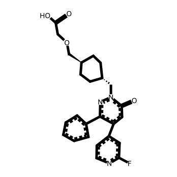 O=C(O)COC[C@H]1CC[C@H](Cn2nc(-c3ccccc3)c(-c3ccnc(F)c3)cc2=O)CC1